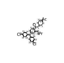 CC(=O)N1CCC(CC(=O)N2CCN(C(c3ccc(Cl)cc3)c3ccc(Cl)cc3)C[C@@H]2CC(C)C)CC1